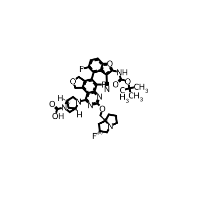 CC(C)(C)OC(=O)Nc1oc2ccc(F)c(-c3c4c(c5c(N6C[C@H]7C[C@@H]6CN7C(=O)O)nc(OC[C@@]67CCCN6C[C@H](F)C7)nc5c3F)COC4)c2c1C#N